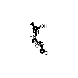 O=C(Nc1cc(NCc2cn3cc(C4CC4)cc(CCO)c3n2)ccn1)[C@H]1C[C@@H]1c1cccc(Cl)c1